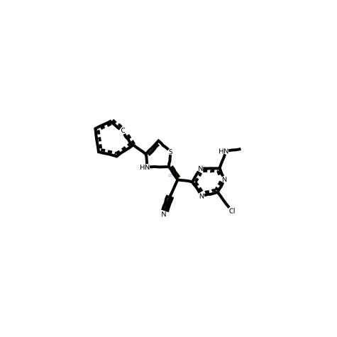 CNc1nc(Cl)nc(/C(C#N)=C2/NC(c3ccccc3)=CS2)n1